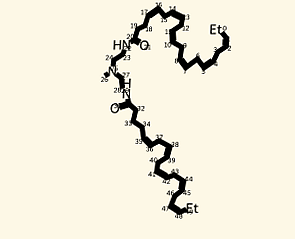 CC/C=C\C/C=C\C/C=C\C/C=C\C/C=C\C/C=C\CCC(=O)NCCN(C)CCNC(=O)CCC/C=C\C/C=C\C/C=C\C/C=C\C/C=C\CC